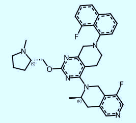 C[C@@H]1Cc2cncc(F)c2CN1c1nc(OC[C@@H]2CCCN2C)nc2c1CCN(c1cccc3cccc(F)c13)C2